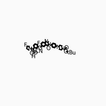 CC(C)(C)OC(=O)N1CCN(c2ccc(-n3cnc4ccc(Oc5c(F)ccc(N(N6CC[C@@H](F)C6)[SH](=O)=O)c5C#N)cc4c3=O)cc2)CC1